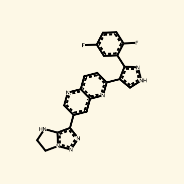 Fc1ccc(F)c(-c2n[nH]cc2-c2ccc3ncc(-c4nnn5c4NCC5)cc3n2)c1